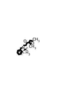 Cc1cc(C(=O)CCN(Cc2ccccc2)C(C)C)c(C)o1